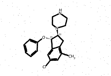 Cc1cc(Cl)cc2c1C[C@H](N1CCNCC1)[C@H]2Oc1ccccc1